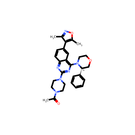 CC(=O)N1CCN(c2nc(N3CCOC[C@@H]3c3ccccc3)c3cc(-c4c(C)noc4C)ccc3n2)CC1